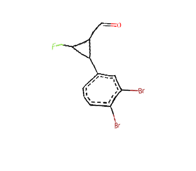 O=CC1C(F)C1c1ccc(Br)c(Br)c1